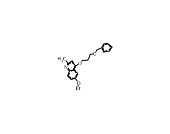 CCOc1ccc2nc(C)cc(OCCCOCc3ccccc3)c2c1